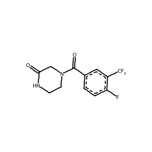 O=C1CN(C(=O)c2ccc(F)c(C(F)(F)F)c2)CCN1